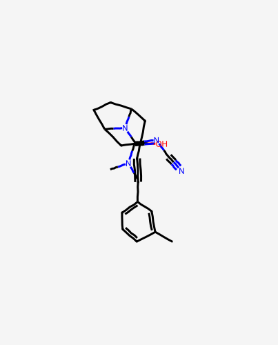 Cc1cccc(C#CC2(O)CC3CCC(C2)N3C(=NC#N)N(C)C)c1